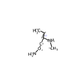 C/C=C(\CON)NC